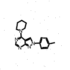 Cc1ccc(-n2cc3c(N4CCCCC4)ncnc3n2)cc1